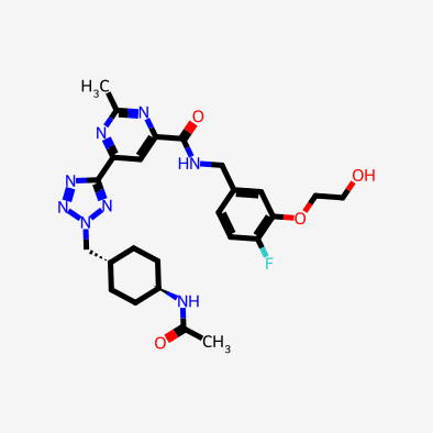 CC(=O)N[C@H]1CC[C@H](Cn2nnc(-c3cc(C(=O)NCc4ccc(F)c(OCCO)c4)nc(C)n3)n2)CC1